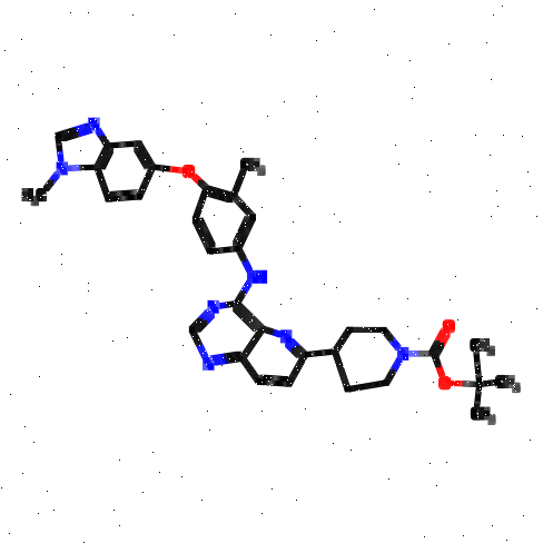 Cc1cc(Nc2ncnc3ccc(C4CCN(C(=O)OC(C)(C)C)CC4)nc23)ccc1Oc1ccc2c(c1)ncn2C